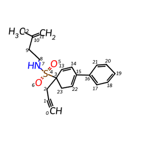 C#CCC1(S(=O)(=O)NCCC(=C)C)C=CC(c2ccccc2)=CC1